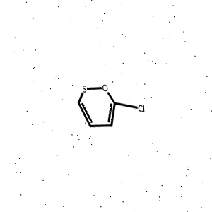 ClC1=CC=CSO1